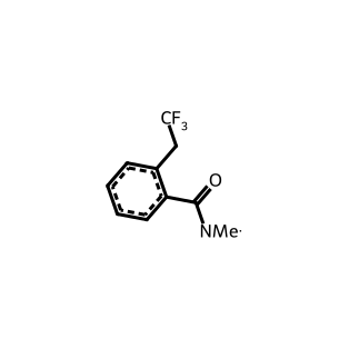 C[N]C(=O)c1ccccc1CC(F)(F)F